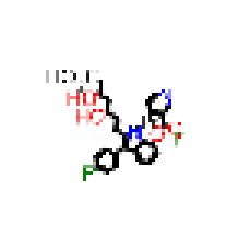 CC(C)n1c(/C=C/C(O)CC(O)CC(=O)O)c(-c2ccc(F)cc2)c2ccccc21.O=C(OF)c1cccnc1